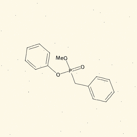 COP(=O)(Cc1ccccc1)Oc1ccccc1